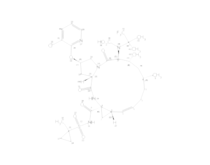 C[C@@H]1CCC=C[C@@H]2C[C@@]2(C(=O)NS(=O)(=O)C2(C)CC2)NC(=O)[C@@H]2C[C@@H](Oc3ncccc3Cl)CN2C(=O)[C@@H](N(C(=O)O)C(C)(C)C(F)(F)F)[C@H](C)C1